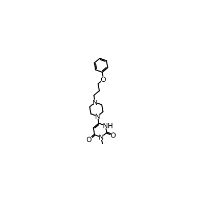 Cn1c(=O)cc(N2CCN(CCCOc3ccccc3)CC2)[nH]c1=O